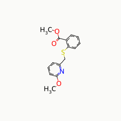 COC(=O)c1ccccc1SCc1cccc(OC)n1